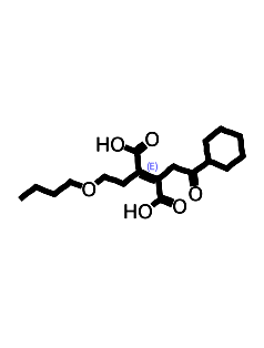 CCCCOCC/C(C(=O)O)=C(/CC(=O)C1CCCCC1)C(=O)O